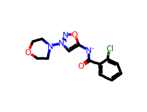 O=C([N-]c1c[n+](N2CCOCC2)no1)c1ccccc1Cl